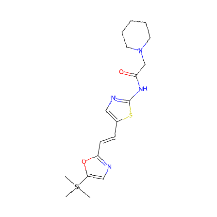 C[Si](C)(C)c1cnc(C=Cc2cnc(NC(=O)CN3CCCCC3)s2)o1